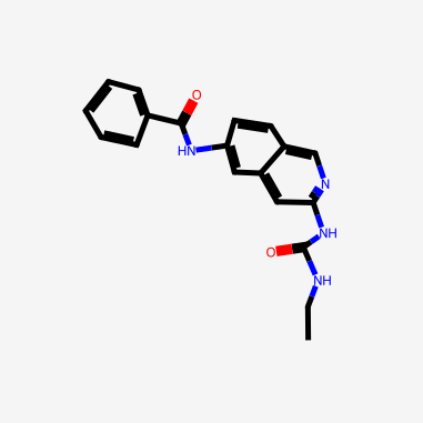 CCNC(=O)Nc1cc2cc(NC(=O)c3ccccc3)ccc2cn1